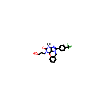 Cn1c(=O)n(CCCO)c(=O)c2c1nc(-c1ccc(C(F)(F)F)cc1)n2Cc1ccccc1